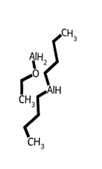 CCC[CH2][AlH][CH2]CCC.CC[O][AlH2]